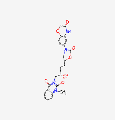 Cn1c(=O)n(CC(O)CCC2CN(c3ccc4c(c3)NC(=O)CO4)C(=O)O2)c(=O)c2ccccc21